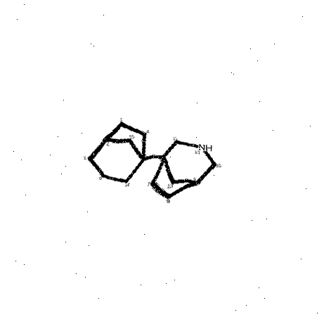 C1CC2CCC(C34CCC(CNC3)C4)(C1)C2